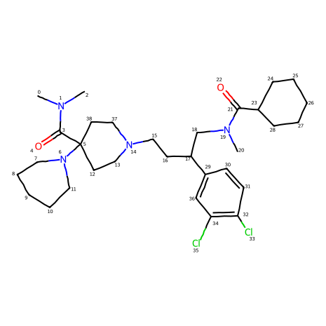 CN(C)C(=O)C1(N2CCCCC2)CCN(CCC(CN(C)C(=O)C2CCCCC2)c2ccc(Cl)c(Cl)c2)CC1